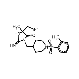 Cc1ccccc1S(=O)(=O)N1CCC(CN2C(=N)NC(C)(CC(C)C)C2=O)CC1